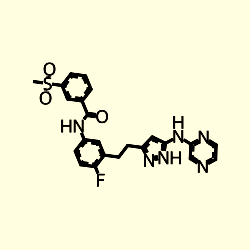 CS(=O)(=O)c1cccc(C(=O)Nc2ccc(F)c(CCc3cc(Nc4cnccn4)[nH]n3)c2)c1